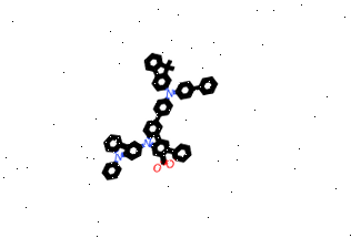 CC1(C)c2ccccc2-c2ccc(N(c3ccc(-c4ccccc4)cc3)c3ccc(-c4ccc5c(c4)c4cc6c(cc4n5-c4ccc5c(c4)c4ccccc4n5-c4ccccc4)c(=O)oc4ccccc46)cc3)cc21